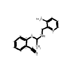 Cc1cccnc1CNC(C)Oc1ccccc1C#N